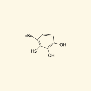 CCCCc1ccc(O)c(O)c1S